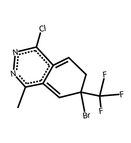 Cc1nnc(Cl)c2c1=CC(Br)(C(F)(F)F)CC=2